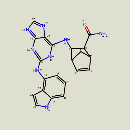 NC(=O)C1C2C=CC(C2)C1Nc1[nH]c(Nc2cccc3[nH]ccc23)nc2ncnc1-2